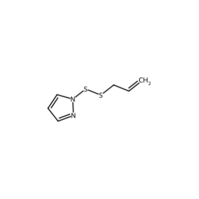 C=CCSSn1cccn1